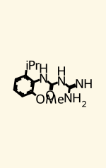 COc1cccc(C(C)C)c1NC(=O)NC(=N)N